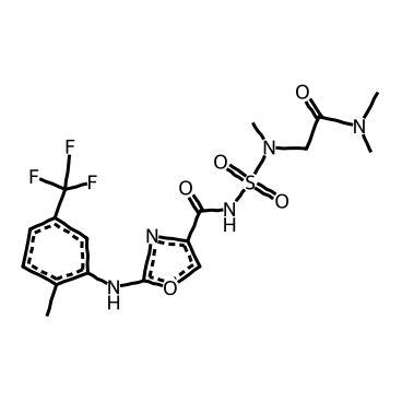 Cc1ccc(C(F)(F)F)cc1Nc1nc(C(=O)NS(=O)(=O)N(C)CC(=O)N(C)C)co1